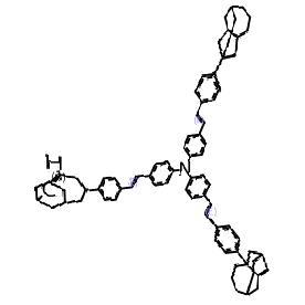 C(=C\c1ccc(N(c2ccc(/C=C/c3ccc(C45CC6CCCC(C4)C(C6)C5)cc3)cc2)c2ccc(/C=C/c3ccc(C45CCCC6CC(CC4C6)C5)cc3)cc2)cc1)/c1ccc(C2CC3CC4CC(C3)[C@@H](C4)C2)cc1